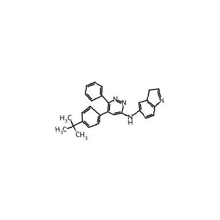 CC(C)(C)c1ccc(-c2cc(Nc3ccc4c(c3)CC=N4)nnc2-c2ccccc2)cc1